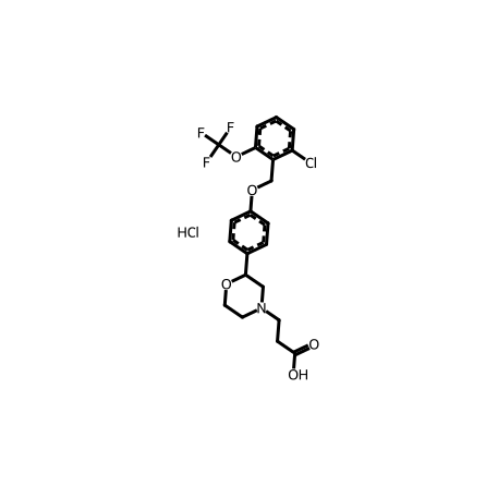 Cl.O=C(O)CCN1CCOC(c2ccc(OCc3c(Cl)cccc3OC(F)(F)F)cc2)C1